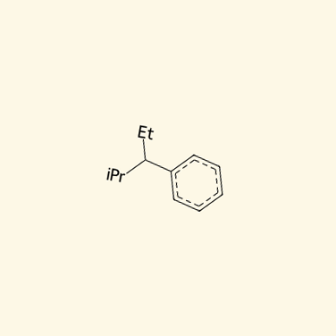 [CH2]CC(c1ccccc1)C(C)C